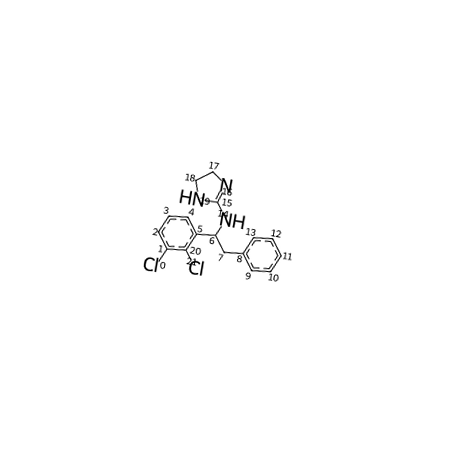 Clc1cccc(C(Cc2ccccc2)NC2=NCCN2)c1Cl